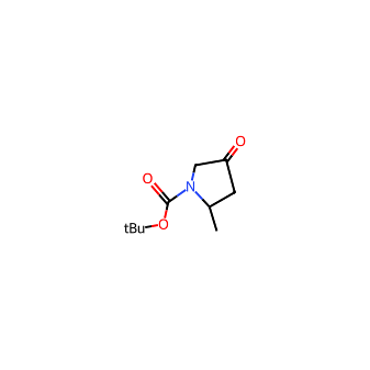 CC1CC(=O)CN1C(=O)OC(C)(C)C